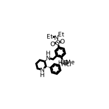 CCN(CC)S(=O)(=O)c1ccc(OC)c(CN[C@H]2CCCN[C@H]2c2ccccc2)c1.Cl.Cl